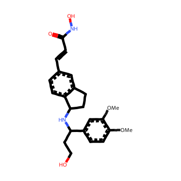 COc1ccc(C(CCO)NC2CCc3cc(C=CC(=O)NO)ccc32)cc1OC